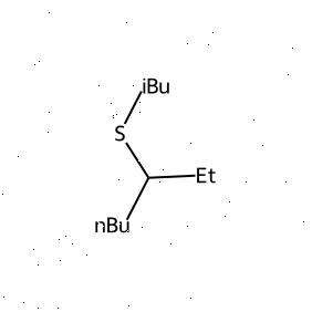 CCCCC(CC)SC(C)CC